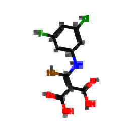 O=C(O)C(C(=O)O)=C(S)Nc1cc(F)cc(Cl)c1